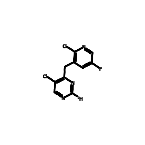 [2H]c1ncc(Cl)c(Cc2cc(F)cnc2Cl)n1